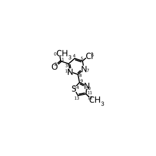 CC(=O)c1cc(Cl)nc(-c2nc(C)cs2)n1